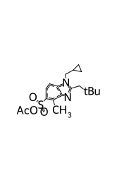 CC(=O)OS(=O)(=O)c1ccc2c(nc(CC(C)(C)C)n2CC2CC2)c1C